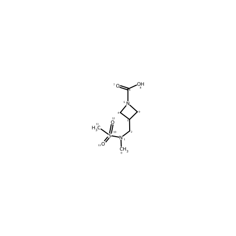 CN(CC1CN(C(=O)O)C1)S(C)(=O)=O